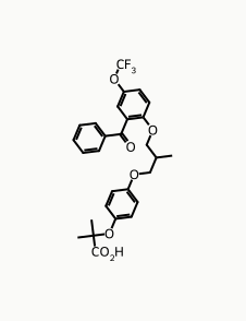 CC(COc1ccc(OC(C)(C)C(=O)O)cc1)COc1ccc(OC(F)(F)F)cc1C(=O)c1ccccc1